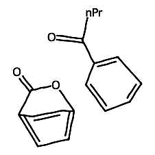 CCCC(=O)c1ccccc1.O=c1oc2ccc1cc2